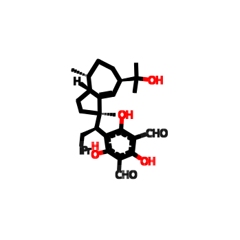 CC(C)C[C@H](c1c(O)c(C=O)c(O)c(C=O)c1O)[C@@]1(C)CC[C@H]2C1=C[C@H](C(C)(C)O)CC[C@H]2C